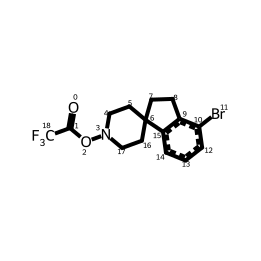 O=C(ON1CCC2(CCc3c(Br)cccc32)CC1)C(F)(F)F